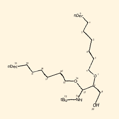 CCCCCCCCCCCCCCCCOC(CO)C(NC(C)(C)C)OCCCCCCCCCCCCCCCC